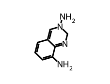 Nc1cccc2c1=NCN(N)C=2